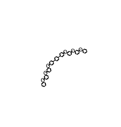 c1ccc(Oc2cccc(Oc3cccc(Oc4ccc(-c5ccc(-c6ccc(Oc7cccc(Oc8cccc(Oc9ccccc9)c8)c7)cc6)cc5)cc4)c3)c2)cc1